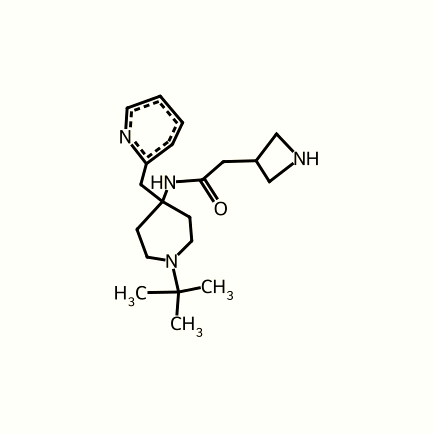 CC(C)(C)N1CCC(Cc2ccccn2)(NC(=O)CC2CNC2)CC1